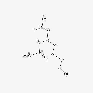 CCN(C)CC(CCCCO)OC(=O)NC